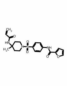 C=CC(=O)NC1(C)CCN(S(=O)(=O)c2ccc(NC(=O)c3ccco3)cc2)CC1